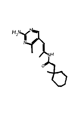 C/C(=C\c1cnc(N)nc1C)NC(=O)CC1(C)CCCCC1